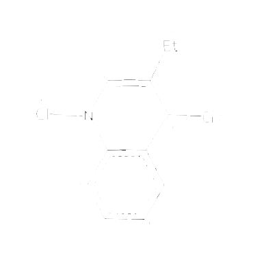 CCC1=CN(Cl)c2ccccc2C1Cl